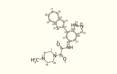 CN1CCN(C(=O)C(=O)Nc2cc(-c3cc4ccccc4s3)c3[nH]ncc3c2)CC1